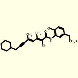 CC/C(C(=O)Nc1cc(CC(=O)O)ccc1Cl)=C(C)\C=C(/C)C#CCC1CCCCC1